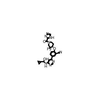 N#Cc1cc(-c2cc(NC(O)C3CC3)ncn2)ccc1O[C@H]1CCN(C(=O)c2nnc[nH]2)CC1(F)F